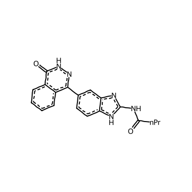 CCCC(=O)Nc1nc2cc(-c3n[nH]c(=O)c4ccccc34)ccc2[nH]1